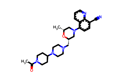 CC(=O)N1CCC(N2CCN(C[C@H]3CN(c4ccc(C#N)c5ncccc45)C[C@@H](C)O3)CC2)CC1